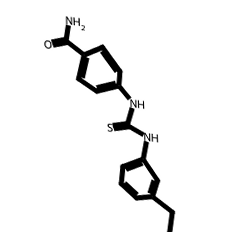 NC(=O)c1ccc(NC(=S)Nc2cccc(CCO)c2)cc1